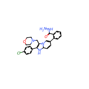 NNC(=O)c1ccccc1C1=CN2C(CN3CCOCC3)=C(c3ccc(Cl)cc3)NC2C=C1